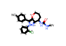 CC(C)NC(=O)NC1CCCOc2c1nn(-c1ccccc1Cl)c2-c1ccc(C#N)cc1